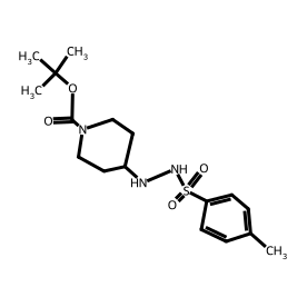 Cc1ccc(S(=O)(=O)NNC2CCN(C(=O)OC(C)(C)C)CC2)cc1